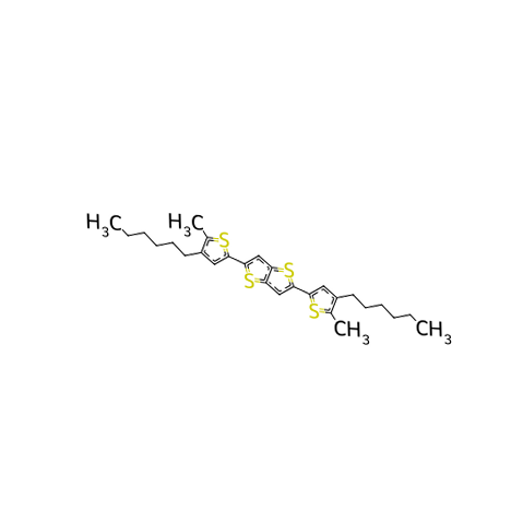 CCCCCCc1cc(-c2cc3sc(-c4cc(CCCCCC)c(C)s4)cc3s2)sc1C